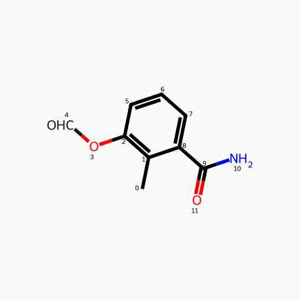 Cc1c(OC=O)cccc1C(N)=O